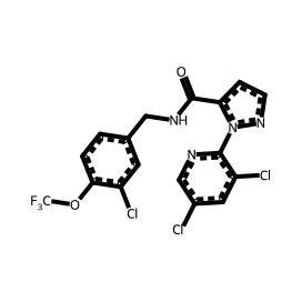 O=C(NCc1ccc(OC(F)(F)F)c(Cl)c1)c1ccnn1-c1ncc(Cl)cc1Cl